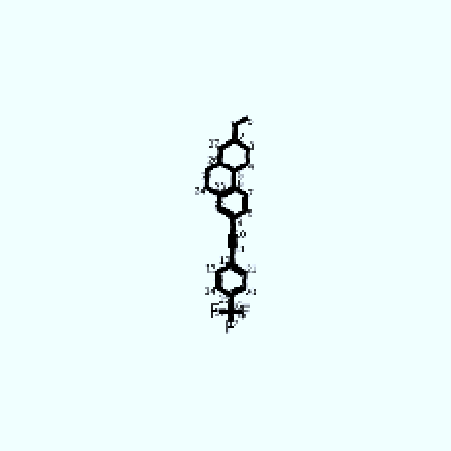 CCC1CCC2c3ccc(C#Cc4ccc(C(F)(F)F)cc4)cc3CCC2C1